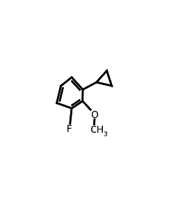 COc1c(F)cccc1C1CC1